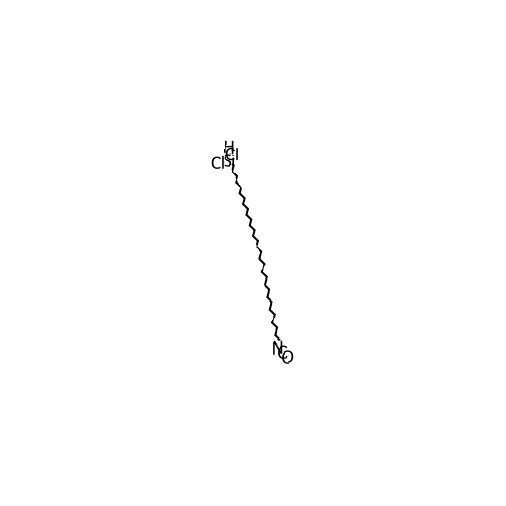 O=C=NCCCCCCCCCCCCCCCCCCCCCCCCCCCCCCC[SiH](Cl)Cl